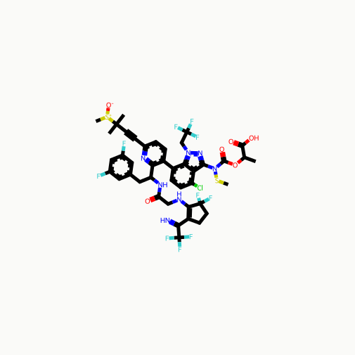 CSN(C(=O)OC(C)C(=O)O)c1nn(CC(F)(F)F)c2c(-c3ccc(C#CC(C)(C)[S+](C)[O-])nc3C(Cc3cc(F)cc(F)c3)NC(=O)CNC3=C(C(=N)C(F)(F)F)CCC3(F)F)ccc(Cl)c12